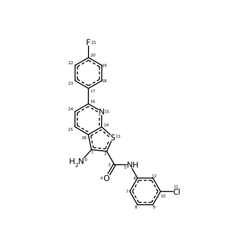 Nc1c(C(=O)Nc2cccc(Cl)c2)sc2nc(-c3ccc(F)cc3)ccc12